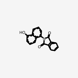 O=C1C2C3C=CC(CC3)C2C(=O)N1c1cccc2c(O)cccc12